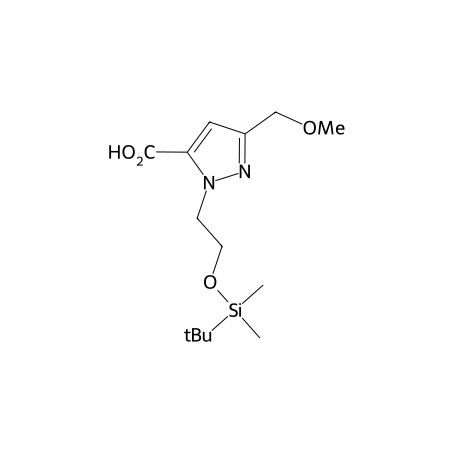 COCc1cc(C(=O)O)n(CCO[Si](C)(C)C(C)(C)C)n1